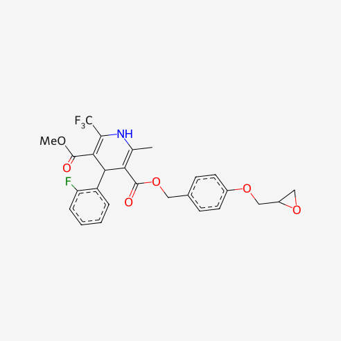 COC(=O)C1=C(C(F)(F)F)NC(C)=C(C(=O)OCc2ccc(OCC3CO3)cc2)C1c1ccccc1F